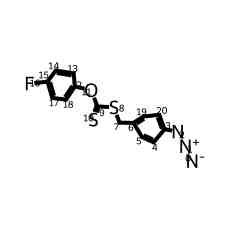 [N-]=[N+]=Nc1ccc(CSC(=S)Oc2ccc(F)cc2)cc1